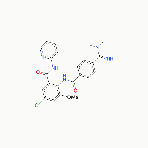 COc1cc(Cl)cc(C(=O)Nc2ccccn2)c1NC(=O)c1ccc(C(=N)N(C)C)cc1